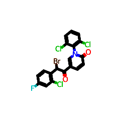 O=C(c1ccc(=O)n(-c2c(Cl)cccc2Cl)c1)C(Br)c1ccc(F)cc1Cl